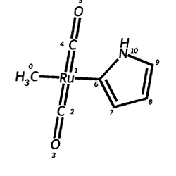 [CH3][Ru](=[C]=O)(=[C]=O)[c]1ccc[nH]1